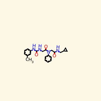 Cc1cccc(NC(=O)NCC(=O)N(CC(=O)NCC2CC2)c2ccccc2)c1